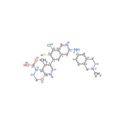 Cc1c(-c2cc3cc(Nc4ccc5c(c4)CCN(C)C5)ncc3c(Cl)c2F)cnc2c1N(C(=O)O)CCO2